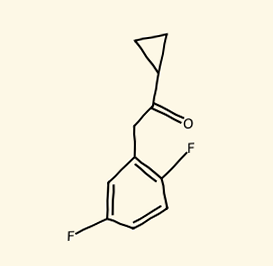 O=C(Cc1cc(F)ccc1F)C1CC1